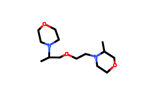 CC(COCCN1CCOCC1C)N1CCOCC1